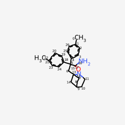 Cc1ccc(C(CC2CC3CCN2CC3)(C(N)=O)c2ccc(C)cc2)cc1